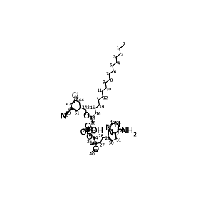 CCCCCCCCCCCCCCCCC[C@H](COP(=O)(O)OC[C@](C)(CCc1ccc2c(N)ncnn12)OC)OCc1cc(Cl)cc(C#N)c1